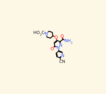 N#Cc1ccc(-n2nc(C(N)=O)c(OC3CCN(C(=O)O)CC3)cc2=O)cn1